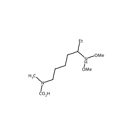 CCC(CCCCN(C)C(=O)O)[SiH](OC)OC